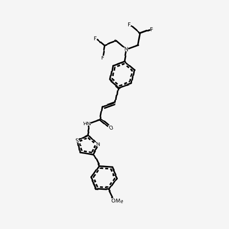 COc1ccc(-c2csc(NC(=O)/C=C/c3ccc(N(CC(F)F)CC(F)F)cc3)n2)cc1